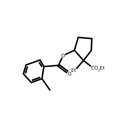 CCOC(=O)C1(CC)CCCC1OC(=O)c1ccccc1C